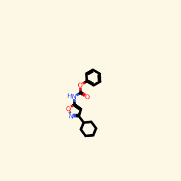 O=C(Nc1cc(C2CCCCC2)no1)Oc1ccccc1